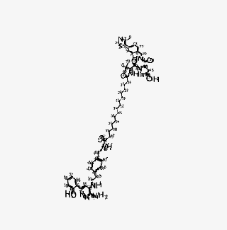 Cc1ncsc1-c1ccc(CNC(=O)[C@@H]2C[C@@H](O)CN2C(=O)[C@@H](NC(=O)CCCCCCCCCCCCCCCC(=O)NCc2ccc(CCNc3cc(-c4ccccc4O)nnc3N)cc2)C(C)(C)C)cc1